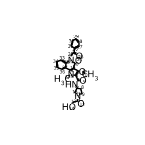 COc1c(C(=O)NC2CCN(C(=O)CO)C2)n(C)c2c1c(=O)n(CC(=O)c1ccccc1)c1ccccc21